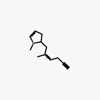 C#CC/C=C(/C)CC1CC=CN1C